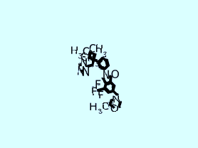 C[C@@H]1CN(Cc2cc3c(c(C(F)(F)F)c2)CN(c2cccc(C4(Cc5nncn5C)CC(C)(C)C4)c2)C3=O)CCO1